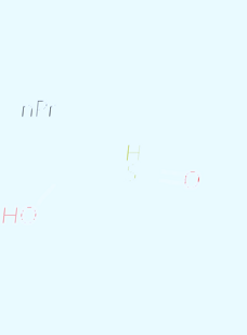 CCCC(O)[SH](C)(C)=O